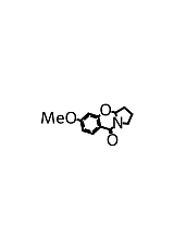 COc1ccc2c(c1)OC1CCCN1C2=O